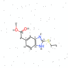 CCSc1nc2cc(CC(=O)OC)ccc2[nH]1